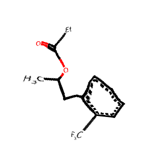 CCC(=O)OC(C)Cc1ccccc1C(F)(F)F